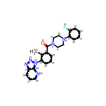 Cc1c(C(=O)N2CCN(c3ccccc3F)CC2)cccc1-n1nnc2cccnc21